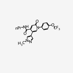 CCCNC(=O)c1cc(=O)n(-c2ccc(OC(F)(F)F)cc2)cc1-c1cnn(C)c1